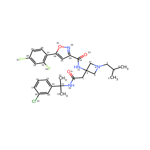 CC(C)CN1CC(CC(=O)NC(C)(C)c2cccc(Cl)c2)(NC(=O)c2cc(-c3ccc(F)cc3F)on2)C1